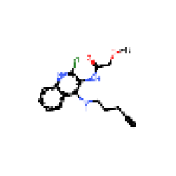 C#CCCCNc1c(NC(=O)COCC)c(Cl)nc2ccccc12